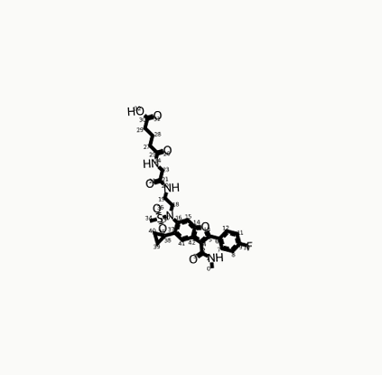 CNC(=O)c1c(-c2ccc(F)cc2)oc2cc(N(CCNC(=O)CNC(=O)CCCC(=O)O)S(C)(=O)=O)c(C3CC3)cc12